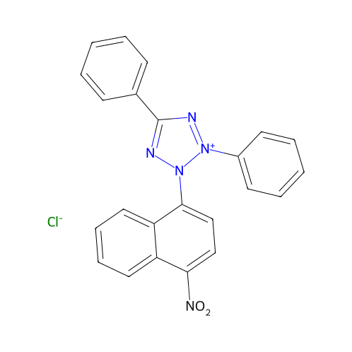 O=[N+]([O-])c1ccc(-n2nc(-c3ccccc3)n[n+]2-c2ccccc2)c2ccccc12.[Cl-]